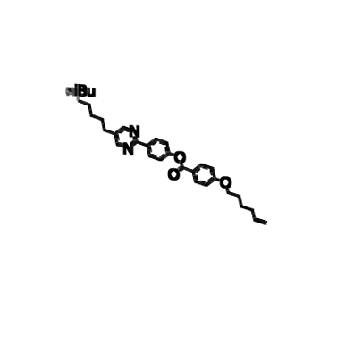 C=CCCCCOc1ccc(C(=O)Oc2ccc(-c3ncc(CCCCC[C@@H](C)CC)cn3)cc2)cc1